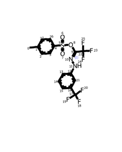 Cc1ccc(S(=O)(=O)O/C(=N/Nc2cccc(C(F)(F)F)c2)C(F)(F)F)cc1